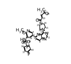 COc1ncc(-c2ccc3ncnc(N4CCN(C(=O)/C=C/C(C)=O)CC4)c3n2)cc1NS(=O)(=O)c1ccc(F)cc1